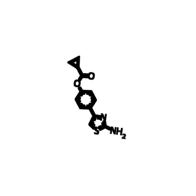 Nc1nc(-c2ccc(OC(=O)C3CC3)cc2)cs1